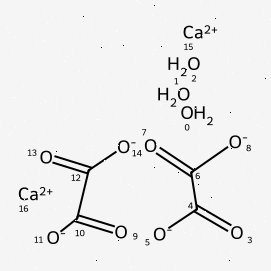 O.O.O.O=C([O-])C(=O)[O-].O=C([O-])C(=O)[O-].[Ca+2].[Ca+2]